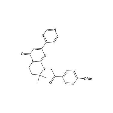 COc1ccc(C(=O)CN2c3nc(-c4ccncn4)cc(=O)n3CCC2(C)C)cc1